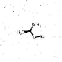 C=[C]([SnH3])OCC